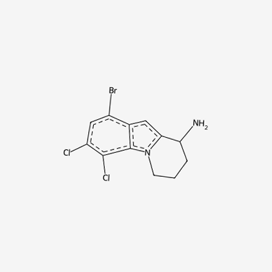 NC1CCCn2c1cc1c(Br)cc(Cl)c(Cl)c12